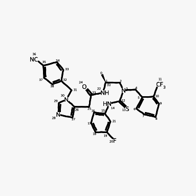 C[C@@H](CN(Cc1ccccc1C(F)(F)F)C(=S)Nc1cccc(F)c1)NC(=O)Cc1cncn1Cc1ccc(C#N)cc1